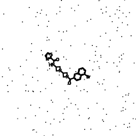 O=C(NC1CN(C2CN(C(=O)c3ccc4c(Br)cccc4c3)C2)C1)c1nccs1